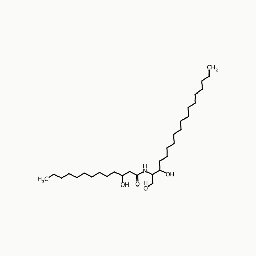 CCCCCCCCCCCCCCCC(O)C(CO)NC(=O)CC(O)CCCCCCCCCC